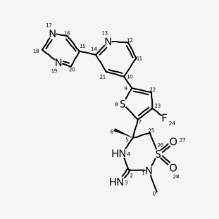 CN1C(=N)N[C@](C)(c2sc(-c3ccnc(-c4cncnc4)c3)cc2F)CS1(=O)=O